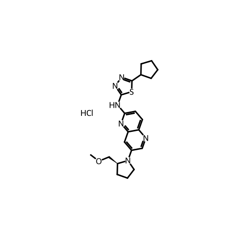 COC[C@@H]1CCCN1c1cnc2ccc(Nc3nnc(C4CCCC4)s3)nc2c1.Cl